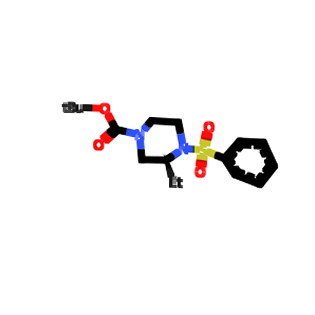 CC[C@H]1CN(C(=O)OC(C)(C)C)CCN1S(=O)(=O)c1ccccc1